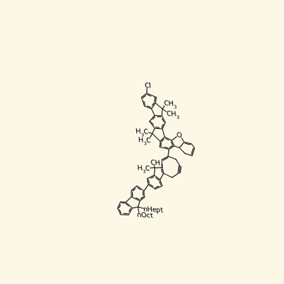 CCCCCCCCC1(CCCCCCC)c2ccccc2-c2ccc(-c3ccc4c(c3)C(C)(C)C3=C4CC#CC/C(c4cc5c(c6c4C4CC=CC=C4O6)-c4cc6c(cc4C5(C)C)-c4ccc(Cl)cc4C6(C)C)=C\3)cc21